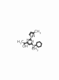 Cc1ccn(-c2nc(C(C)O)cc(N(C)C3CCCCC3)n2)n1